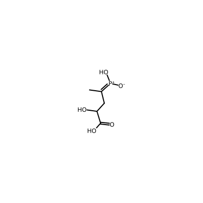 C/C(CC(O)C(=O)O)=[P+](/[O-])O